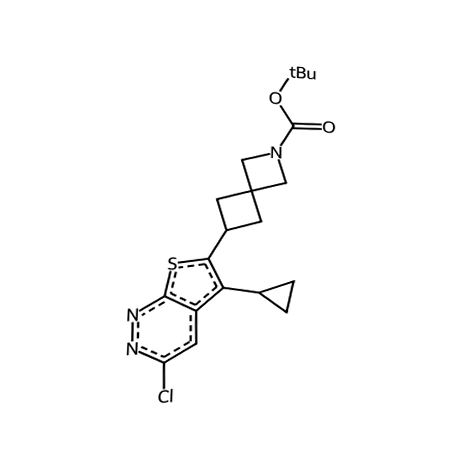 CC(C)(C)OC(=O)N1CC2(CC(c3sc4nnc(Cl)cc4c3C3CC3)C2)C1